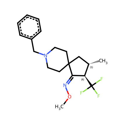 CON=C1[C@H](C(F)(F)F)[C@@H](C)CC12CCN(Cc1ccccc1)CC2